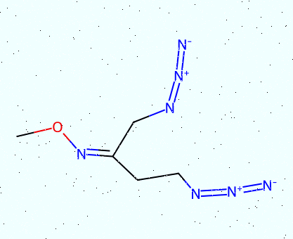 CON=C(CCN=[N+]=[N-])CN=[N+]=[N-]